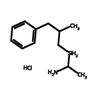 CC(C[SiH2]C(C)N)Cc1ccccc1.Cl